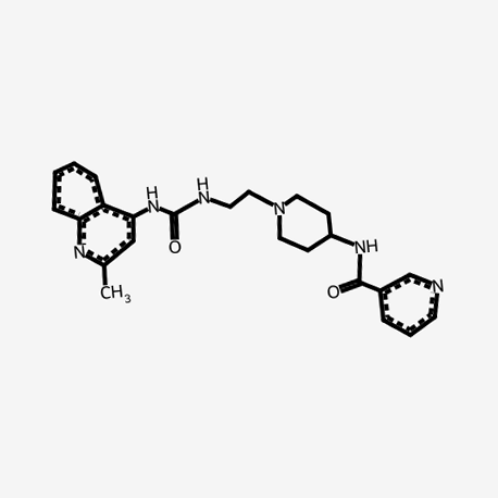 Cc1cc(NC(=O)NCCN2CCC(NC(=O)c3cccnc3)CC2)c2ccccc2n1